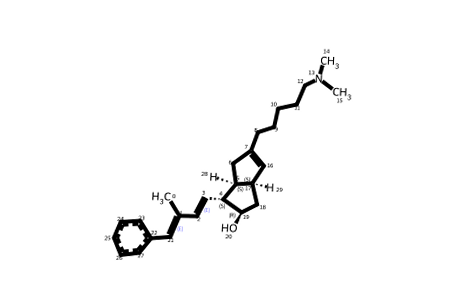 CC(/C=C/[C@@H]1[C@H]2CC(CCCCCN(C)C)=C[C@H]2C[C@H]1O)=C\c1ccccc1